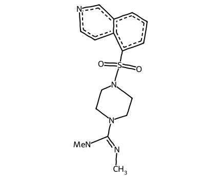 CN=C(NC)N1CCN(S(=O)(=O)c2cccc3cnccc23)CC1